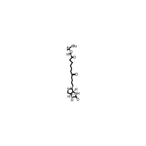 CC(C)(C)[Si](C)(C)ONC(=O)CCCCCC(=O)CCCC[C@@H]1SC[C@@H]2NC(=O)N[C@@H]21